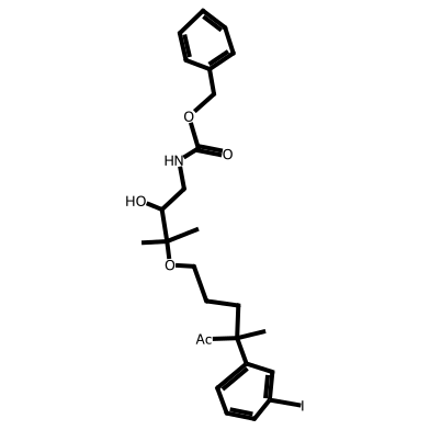 CC(=O)C(C)(CCCOC(C)(C)C(O)CNC(=O)OCc1ccccc1)c1cccc(I)c1